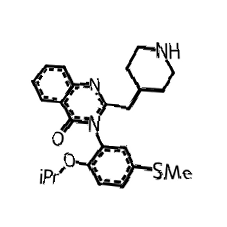 CSc1ccc(OC(C)C)c(-n2c(CC3CCNCC3)nc3ccccc3c2=O)c1